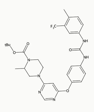 Cc1ccc(NC(=O)Nc2ccc(Oc3cc(N4CCN(C(=O)OC(C)(C)C)C(C)C4)ncn3)cc2)cc1C(F)(F)F